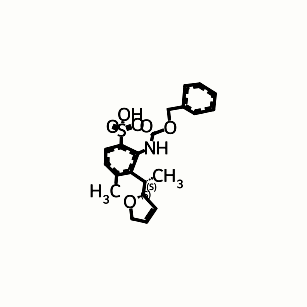 Cc1ccc(S(=O)(=O)O)c(NC(=O)OCc2ccccc2)c1[C@H](C)[C@@H]1C=CCO1